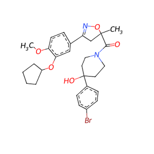 COc1ccc(C2=NOC(C)(C(=O)N3CCC(O)(c4ccc(Br)cc4)CC3)C2)cc1OC1CCCC1